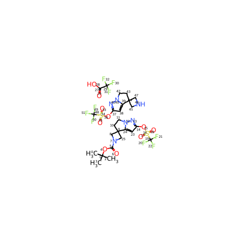 CC(C)(C)OC(=O)N1CC2(CCn3nc(OS(=O)(=O)C(F)(F)F)cc32)C1.O=C(O)C(F)(F)F.O=S(=O)(Oc1cc2n(n1)CCC21CNC1)C(F)(F)F